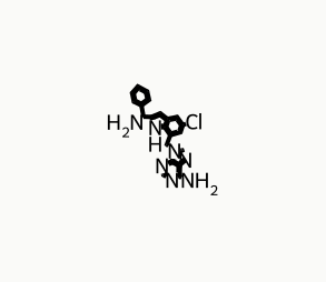 Nc1ncnc2c1ncn2Cc1cc(Cl)cc2cc(C(N)c3ccccc3)[nH]c12